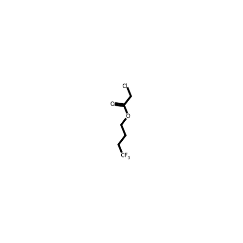 O=C(CCl)OCCCC(F)(F)F